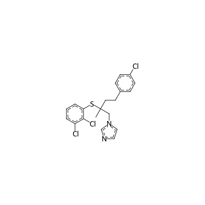 CC(CCc1ccc(Cl)cc1)(Cn1ccnc1)Sc1cccc(Cl)c1Cl